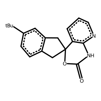 CC(C)(C)c1ccc2c(c1)CC1(C2)OC(=O)Nc2ncccc21